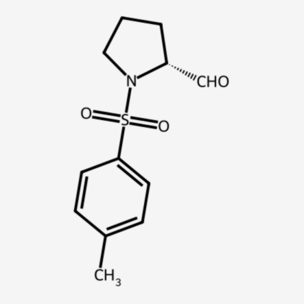 Cc1ccc(S(=O)(=O)N2CCC[C@@H]2C=O)cc1